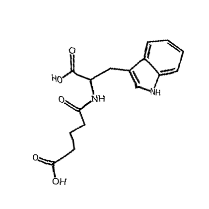 O=C(O)CCCC(=O)NC(Cc1c[nH]c2ccccc12)C(=O)O